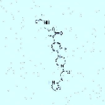 CC(=O)NCn1cc(-c2ccc(N3CCN(C(=O)CSc4ncc[nH]4)CC3)c(F)c2)c(=O)o1